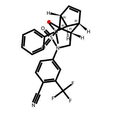 CC12[C@@H]3C=C[C@@H]([C@H]3[Si](C)(C)c3ccccc3)[C@@H]1CN(c1ccc(C#N)c(C(F)(F)F)c1)S2(=O)=O